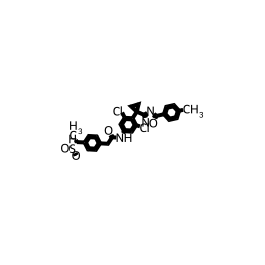 Cc1ccc(-c2nc(C3(c4c(Cl)cc(NC(=O)Cc5ccc(C(C)[SH](=O)=O)cc5)cc4Cl)CC3)no2)cc1